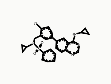 O=S(=O)(c1ccccc1)N(Cc1cc(-c2ccc3ncnc(NC4CC4)c3c2)ccc1Cl)C1CC1